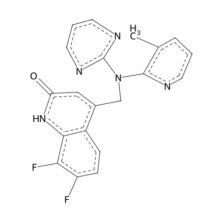 Cc1cccnc1N(Cc1cc(=O)[nH]c2c(F)c(F)ccc12)c1ncccn1